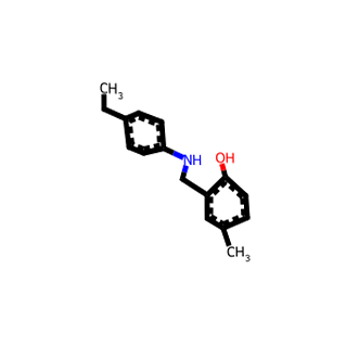 CCc1ccc(NCc2cc(C)ccc2O)cc1